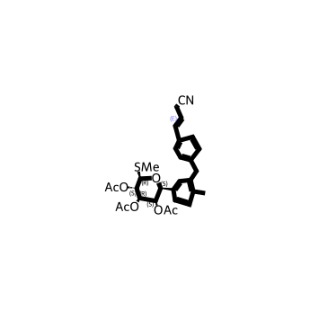 CS[C@H]1O[C@@H](c2ccc(C)c(Cc3ccc(/C=C/CC#N)cc3)c2)[C@H](OC(C)=O)[C@@H](OC(C)=O)[C@@H]1OC(C)=O